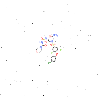 CN(CCN(CC(N)=O)S(=O)(=O)c1cc(F)c(Oc2ccc(Cl)cc2)c(F)c1)S(=O)(=O)NC(=O)N1CCOCC1